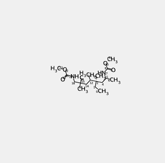 CC[C@](C)(CC(C)NC(=O)OC)C(C)CC(C)(C)CNC(=O)OC